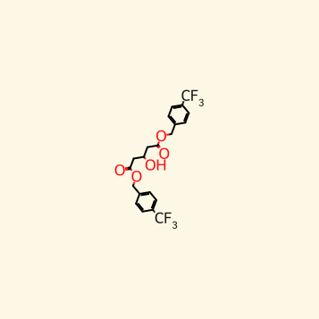 O=C(CC(O)CC(=O)OCc1ccc(C(F)(F)F)cc1)OCc1ccc(C(F)(F)F)cc1